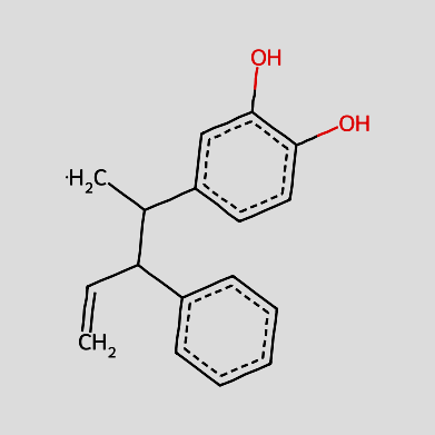 [CH2]C(c1ccc(O)c(O)c1)C(C=C)c1ccccc1